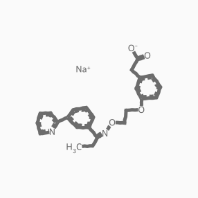 CCC(=NOCCOc1cccc(CC(=O)[O-])c1)c1cccc(-c2ccccn2)c1.[Na+]